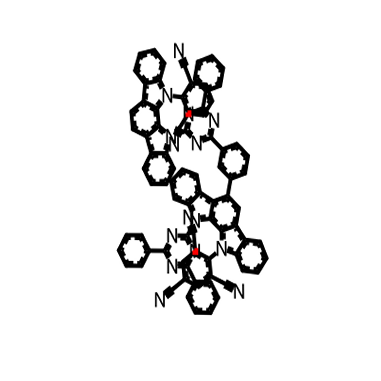 N#Cc1cc(C#N)c(-n2c3ccccc3c3cc(-c4cccc(-c5nc(-c6ccccc6)nc(-n6c7ccccc7c7ccc8c9ccccc9n(-c9c(C#N)cccc9C#N)c8c76)n5)c4)c4c5ccccc5n(-c5nc(-c6ccccc6)nc(-c6ccccc6)n5)c4c32)c(C#N)c1